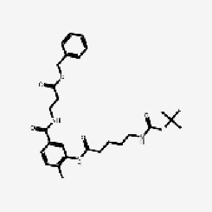 Cc1ccc(C(=O)NCCC(=O)OCc2ccccc2)cc1NC(=O)CCCCNC(=O)OC(C)(C)C